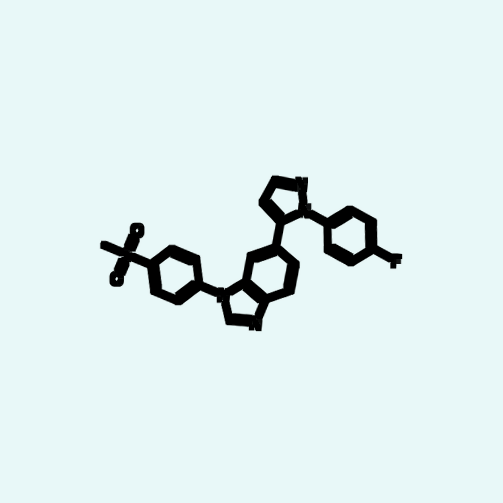 CS(=O)(=O)c1ccc(-n2cnc3ccc(-c4ccnn4-c4ccc(F)cc4)cc32)cc1